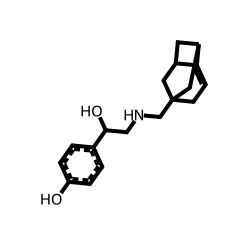 Oc1ccc(C(O)CNCC23CC=C4C(CC4C2)C3)cc1